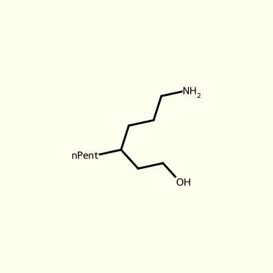 CCCCCC(CCO)CCCN